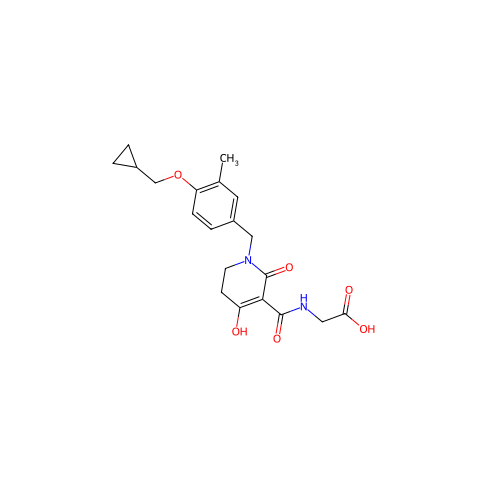 Cc1cc(CN2CCC(O)=C(C(=O)NCC(=O)O)C2=O)ccc1OCC1CC1